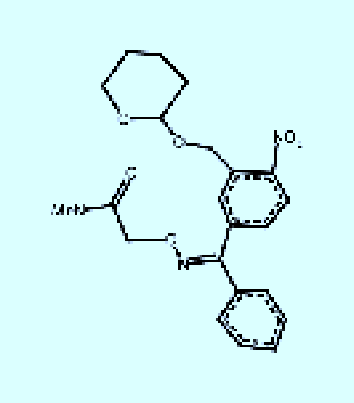 CNC(=O)CON=C(c1ccccc1)c1ccc([N+](=O)[O-])c(COC2CCCCO2)c1